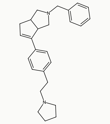 C1=C(c2ccc(CCN3CCCC3)cc2)C2CN(Cc3ccccc3)CC2C1